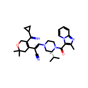 Cc1nc2ccccn2c1C(=O)N1CCN(/C=C(\C#N)C2=C(C(=N)C3CC3)COC(C)(C)C2)C[C@H]1C(C)C